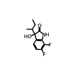 CCC(C)C1(O)C(=O)Nc2c1ccc(F)c2F